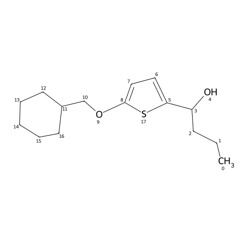 CCCC(O)c1ccc(OCC2CCCCC2)s1